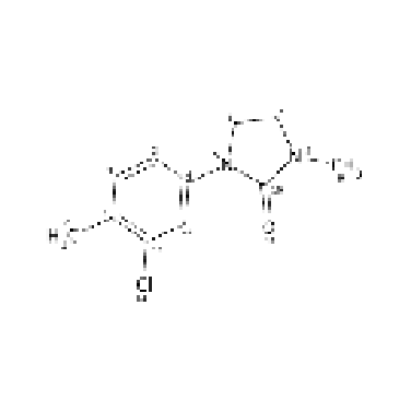 Cc1ccc(N2CCN(C)C2=O)cc1Cl